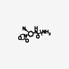 CC(C)(N)C(=O)Nc1ccc(N2CCOCC2=O)c(C#N)c1